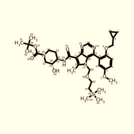 COc1ccc(OCC2CC2)c(-c2ncnc3c(C(=O)N[C@@H]4CCN(C(=O)OC(C)(C)C)C[C@H]4O)c(C)n(COCC[Si](C)(C)C)c23)c1